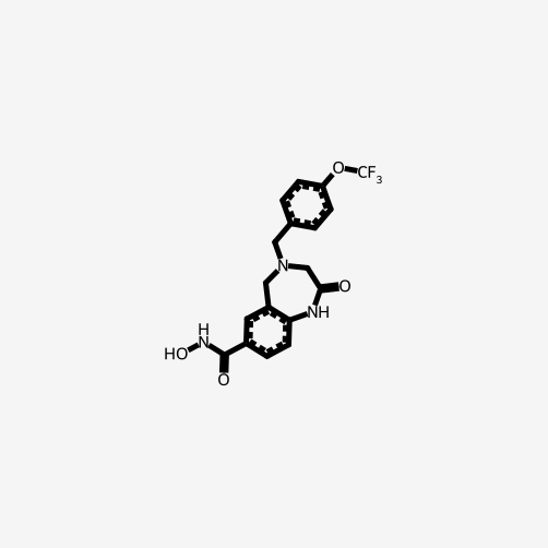 O=C1CN(Cc2ccc(OC(F)(F)F)cc2)Cc2cc(C(=O)NO)ccc2N1